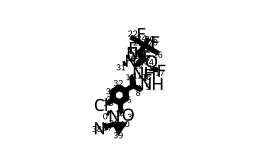 CN(C(=O)c1cc(/C(C=N)=C/Nc2c(OC(F)F)c(C(C)(C(C)(F)F)C(C)(F)F)nn2C)ccc1Cl)C1(C#N)CC1